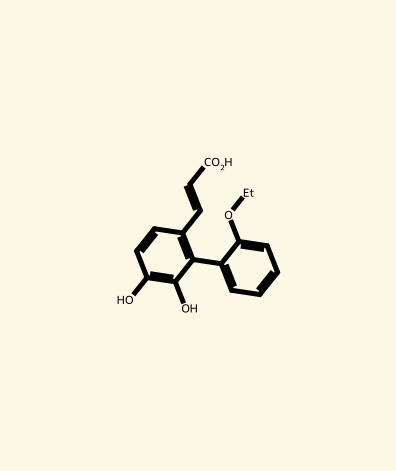 CCOc1ccccc1-c1c(C=CC(=O)O)ccc(O)c1O